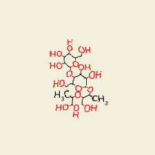 CC(OC(CO)[C@H](C)OC1OC(CO)C(OC2OC(CO)C(O)C(O)C2O)C(O)C1O)C(O)O